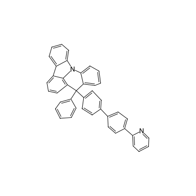 c1ccc(C2(c3ccc(-c4ccc(-c5ccccn5)cc4)cc3)c3ccccc3-n3c4ccccc4c4cccc2c43)cc1